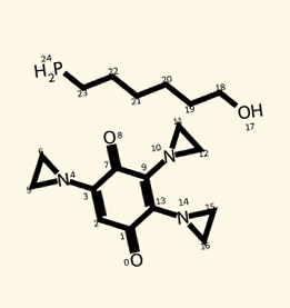 O=C1C=C(N2CC2)C(=O)C(N2CC2)=C1N1CC1.OCCCCCCP